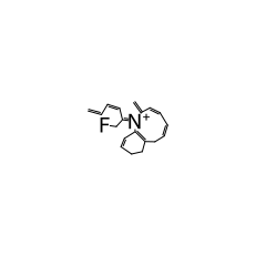 C=C/C=C\C(CF)=[N+]1/C(=C)/C=C\C=C/CC2=C1C=CCC2